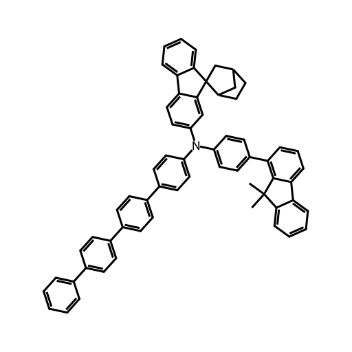 CC1(C)c2ccccc2-c2cccc(-c3ccc(N(c4ccc(-c5ccc(-c6ccc(-c7ccccc7)cc6)cc5)cc4)c4ccc5c(c4)C4(CC6CCC4C6)c4ccccc4-5)cc3)c21